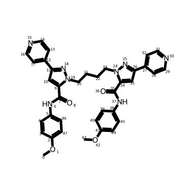 COc1ccc(NC(=O)c2cc(-c3ccncc3)nn2CCCCn2nc(-c3ccncc3)cc2C(=O)Nc2ccc(OC)cc2)cc1